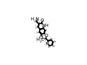 C[C@@H](Oc1cc2[nH]c(=O)c(CN)cc2cc1Cl)c1ccccn1